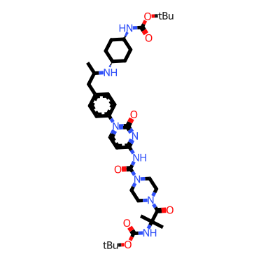 CC(Cc1ccc(-n2ccc(NC(=O)N3CCN(C(=O)C(C)(C)NC(=O)OC(C)(C)C)CC3)nc2=O)cc1)N[C@H]1CC[C@H](NC(=O)OC(C)(C)C)CC1